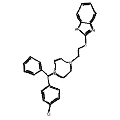 Clc1ccc(C(c2ccccc2)N2CCN(CCSc3nc4ccccc4[nH]3)CC2)cc1